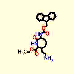 CCOC(=O)C1NC(=O)C(NC(=O)OCC2c3ccccc3-c3ccccc32)CCCC1CCN